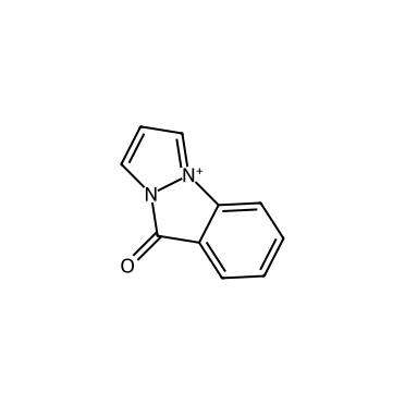 O=C1c2ccccc2-[n+]2cccn21